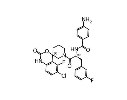 Nc1ccc(C(=O)N[C@@H](Cc2cccc(F)c2)C(=O)N2CCC[C@@]3(C2)OC(=O)Nc2ccc(Cl)c(F)c23)cc1